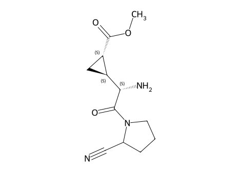 COC(=O)[C@H]1C[C@@H]1[C@H](N)C(=O)N1CCCC1C#N